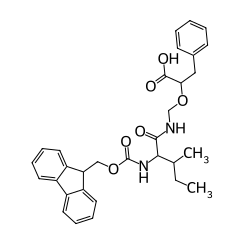 CCC(C)C(NC(=O)OCC1c2ccccc2-c2ccccc21)C(=O)NCOC(Cc1ccccc1)C(=O)O